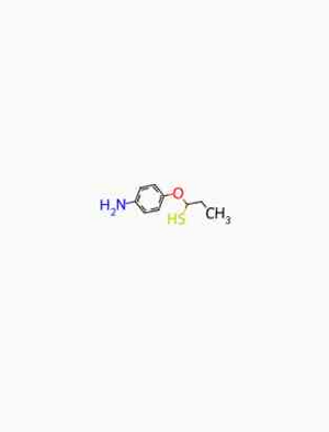 CCC(S)Oc1ccc(N)cc1